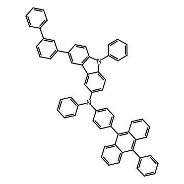 c1ccc(-c2cccc(-c3ccc4c(c3)c3cc(N(c5ccccc5)c5ccc(-c6c7ccccc7c(-c7ccccc7)c7ccccc67)cc5)ccc3n4-c3ccccc3)c2)cc1